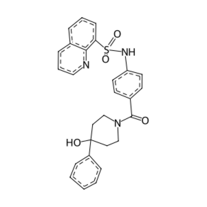 O=C(c1ccc(NS(=O)(=O)c2cccc3cccnc23)cc1)N1CCC(O)(c2ccccc2)CC1